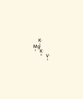 [K].[K].[Mg].[V]